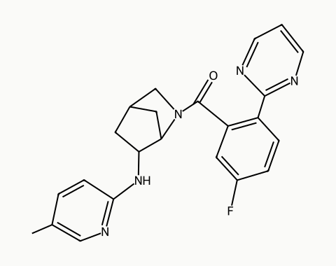 Cc1ccc(NC2CC3CC2N(C(=O)c2cc(F)ccc2-c2ncccn2)C3)nc1